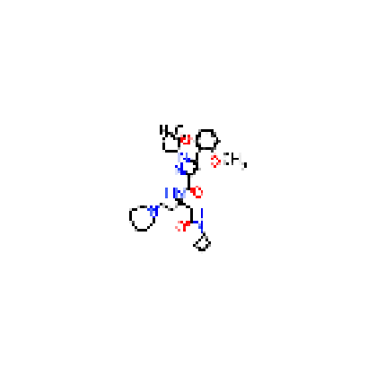 COc1cccc(OC)c1-c1cc(C(=O)N[C@@H](CCN2CCCCCC2)CC(=O)NC2CCC2)nn1C1CCCC1